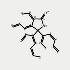 C=C/C=C\C(=C/C)C1(/C(C=C)=C/C=C\C)NC(=O)C(=C/C)/C1=C\C=C